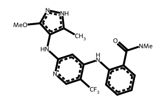 CNC(=O)c1ccccc1Nc1cc(Nc2c(OC)n[nH]c2C)ncc1C(F)(F)F